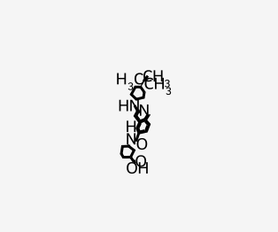 CC(C)(C)[C@H]1CC[C@H](Nc2cc3cc(C(=O)NC4CCCC(C(=O)O)C4)ccc3cn2)CC1